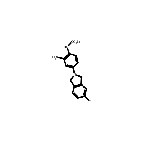 CCOC(=O)Nc1ccc(N2Cc3ccc(F)cc3C2)cc1N